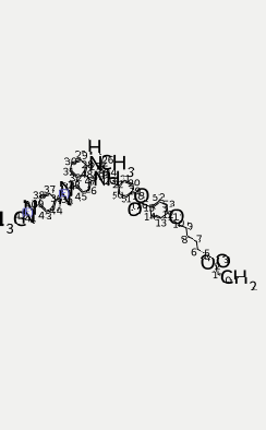 C=CC(=O)OCCCCCCOc1ccc(C(=O)Oc2ccc(CCC3(C)Nc4cccc5c(/N=N/c6ccc(/N=N/C)cc6)ccc(c45)N3)cc2)cc1